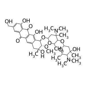 CO[C@H]1[C@H](OC2CC(C)(N(C)C)C(OC3CC(C)(O)C(N(C)C)C(C)O3)C(C)O2)c2c(cc3c(c2O)C(=O)c2c(O)cc(CO)cc2C3=O)C[C@@]1(C)O